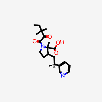 CCC(C)(C)C(=O)C(=O)N1CCC(C[C@H](C)c2cccnc2)C1(C)C(=O)O